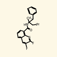 CC(C)CC(C)(Cc1ccccc1)NC(=O)c1cccc2cc(F)c(F)nc12